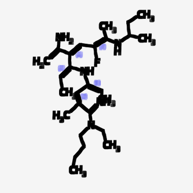 C=C(N)C(=C/C(F)=C(\C)NC(C)CC)/C(=C/C)NC(/C=C(/C)C(=N)N(CC)CCCC)=C/C